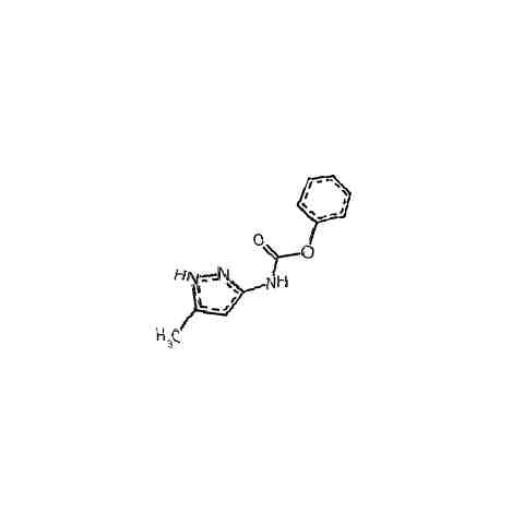 Cc1cc(NC(=O)Oc2ccccc2)n[nH]1